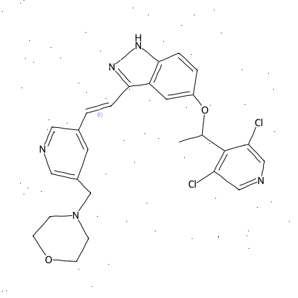 CC(Oc1ccc2[nH]nc(/C=C/c3cncc(CN4CCOCC4)c3)c2c1)c1c(Cl)cncc1Cl